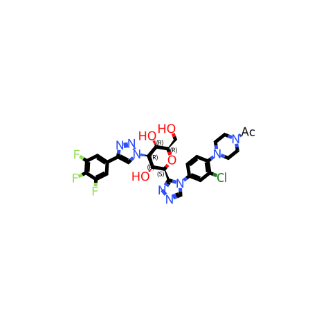 CC(=O)N1CCN(c2ccc(-n3cnnc3[C@@H]3O[C@H](CO)[C@H](O)[C@H](n4cc(-c5cc(F)c(F)c(F)c5)nn4)[C@H]3O)cc2Cl)CC1